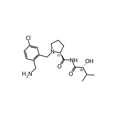 CC(C)[C@@H](O)C(=O)NC(=O)[C@@H]1CCCN1Cc1cc(Cl)ccc1CN